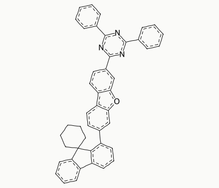 c1ccc(-c2nc(-c3ccccc3)nc(-c3ccc4c(c3)oc3cc(-c5cccc6c5C5(CCCCC5)c5ccccc5-6)ccc34)n2)cc1